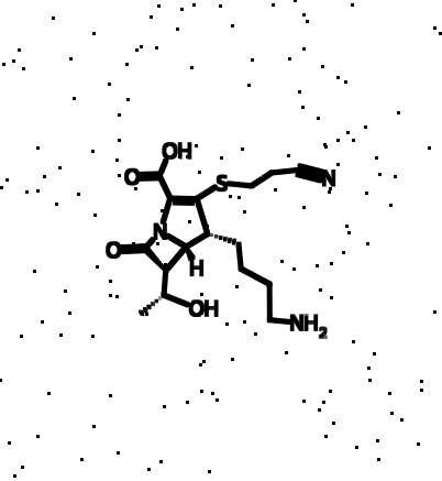 C[C@@H](O)[C@H]1C(=O)N2C(C(=O)O)=C(SCCC#N)[C@H](CCCCN)[C@H]12